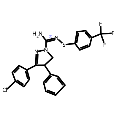 N/C(=N/Sc1ccc(C(F)(F)F)cc1)N1CC(c2ccccc2)C(c2ccc(Cl)cc2)=N1